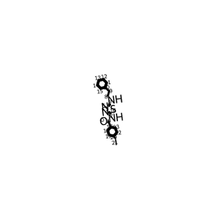 O=C(Nc1nnc(NCCc2ccccc2)s1)c1ccc(I)cc1